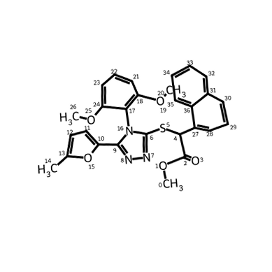 COC(=O)C(Sc1nnc(-c2ccc(C)o2)n1-c1c(OC)cccc1OC)c1cccc2ccccc12